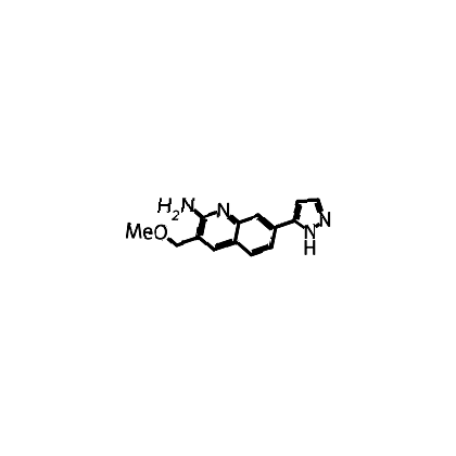 COCc1cc2ccc(-c3ccn[nH]3)cc2nc1N